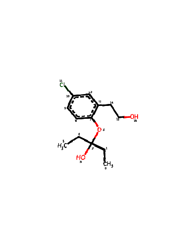 CCC(O)(CC)Oc1ccc(Cl)cc1CCO